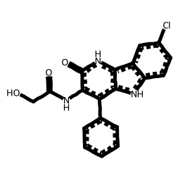 O=C(CO)Nc1c(-c2ccccc2)c2[nH]c3ccc(Cl)cc3c2[nH]c1=O